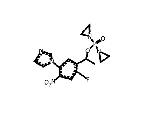 CC(OP(=O)(N1CC1)N1CC1)c1cc(-n2ccnc2)c([N+](=O)[O-])cc1F